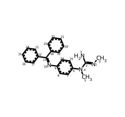 C/N=C(\N)N(C)c1ccc(N=C(c2ccccc2)c2ccccc2)cc1